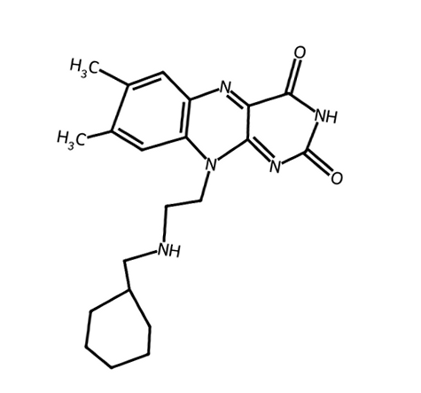 Cc1cc2nc3c(=O)[nH]c(=O)nc-3n(CCNCC3CCCCC3)c2cc1C